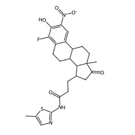 Cc1cnc(NC(=O)CCC2CC(=O)C3(C)CCC4c5cc([N+](=O)[O-])c(O)c(F)c5CCC4C23)s1